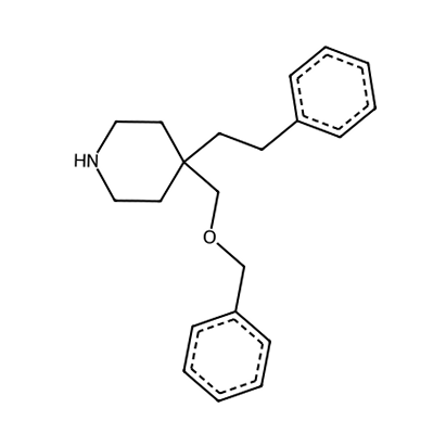 c1ccc(CCC2(COCc3ccccc3)CCNCC2)cc1